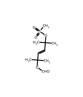 CC(C)(C=CC(C)(C)OS(C)(=O)=O)OC=O